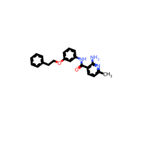 Cc1ccc(C(=O)Nc2cccc(OCCc3ccccc3)c2)c(N)n1